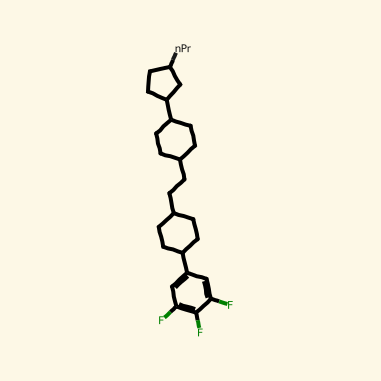 CCCC1CCC(C2CCC(CCC3CCC(c4cc(F)c(F)c(F)c4)CC3)CC2)C1